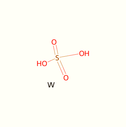 O=S(=O)(O)O.[W]